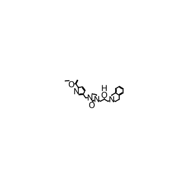 C=C(OCC)c1ccc(CN2CCN(CC(O)CN3CCc4ccccc4C3)C2=O)cn1